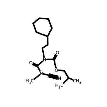 CC(C)COC(=O)N(CCC1CCCCC1)C(=O)N(C)C#N